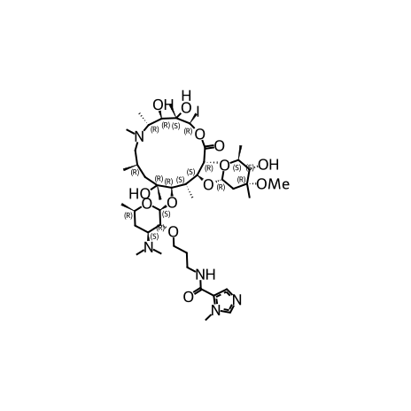 CO[C@]1(C)C[C@H](O[C@H]2[C@H](C)[C@@H](O[C@@H]3O[C@H](C)C[C@H](N(C)C)[C@H]3OCCCNC(=O)c3cncn3C)[C@](C)(O)C[C@@H](C)CN(C)[C@H](C)[C@@H](O)[C@](C)(O)[C@@H](I)OC(=O)[C@@H]2C)O[C@@H](C)[C@@H]1O